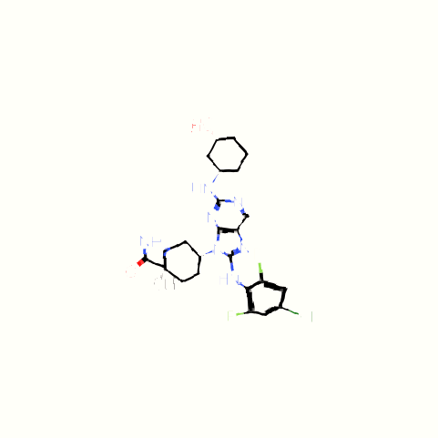 C[C@]1(C(N)=O)CC[C@@H](n2c(Nc3c(F)cc(Cl)cc3F)nc3cnc(N[C@@H]4CCC[C@@H](O)C4)nc32)CC1